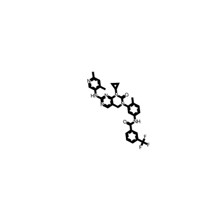 Cc1cc(C)c(Nc2ncc3c(n2)N(C2CC2)C(=O)N(c2cc(NC(=O)c4cccc(C(F)(F)F)c4)ccc2C)C3)cn1